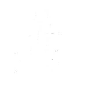 CCC1(COC(OCC2(CC)COC2)C(F)(c2ccccc2)C(F)(F)C(F)(F)F)COC1